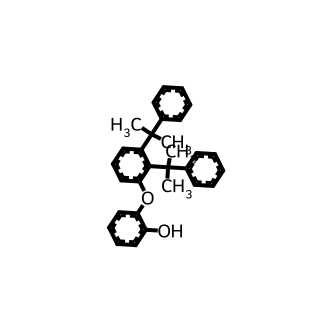 CC(C)(c1ccccc1)c1cccc(Oc2ccccc2O)c1C(C)(C)c1ccccc1